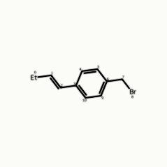 CCC=Cc1ccc(CBr)cc1